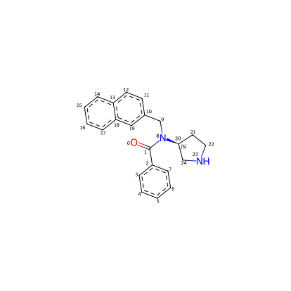 O=C(c1ccccc1)N(Cc1ccc2ccccc2c1)[C@H]1CCNC1